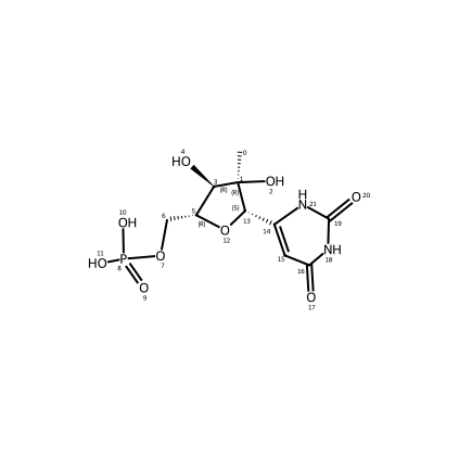 C[C@@]1(O)[C@H](O)[C@@H](COP(=O)(O)O)O[C@H]1c1cc(=O)[nH]c(=O)[nH]1